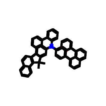 CC1(C)c2cc(N(c3ccc(-c4cccc5cccc(-c6ccccc6)c45)cc3)c3ccccc3-c3ccccc3)ccc2-c2ccc3ccccc3c21